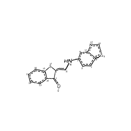 O=C1C(=CNc2ccc3scnc3c2)Sc2ccccc21